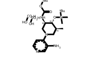 C[C@H]1CN(c2ccncc2N)C[C@@H](NC(=O)OC(C)(C)C)[C@@H]1O[Si](C)(C)C(C)(C)C.O=C(O)O.O=C(O)O